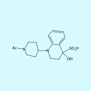 CC(=O)N1CCC(N2CCC(O)(S(=O)(=O)O)c3ccccc32)CC1